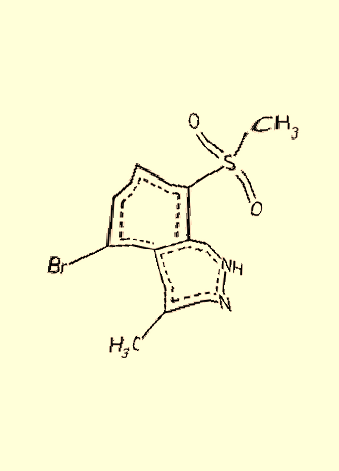 Cc1n[nH]c2c(S(C)(=O)=O)ccc(Br)c12